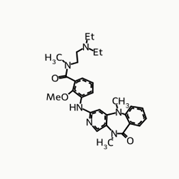 CCN(CC)CCN(C)C(=O)c1cccc(Nc2cc3c(cn2)N(C)C(=O)c2ccccc2N3C)c1OC